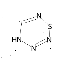 [C]1=NSN=NN1